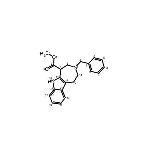 COC(=O)C1CN(Cc2ccccc2)CCc2c1[nH]c1ccccc21